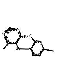 Cc1ccc(Nc2cncnc2C)c(C(=O)O)n1